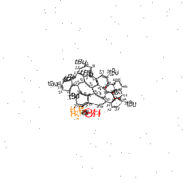 CC(C)(C)c1ccc(C2=C(c3ccc(C(C)(C)C)cc3C(C)(C)C)C(c3ccc(C(C)(C)C)cc3C(C)(C)C)c3cccc4cc(-c5ccc(C(C)(C)C)cc5C(C)(C)C)c(-c5ccc6cccc7c6c5C=CC7)c2c34)c(C(C)(C)C)c1.OP.OP